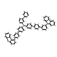 c1ccc(-c2cccc(N(c3ccc(-c4ccc(-c5cccc(-n6c7ccccc7c7ccccc76)c5)cc4)cc3)c3ccc(-c4ccc(-c5cccc6oc7ccccc7c56)cc4)cc3)c2)cc1